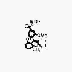 C=CC(C)=C(C1=C(C)CCCC1(C)C)c1ccc(C(=O)OCCCCCC)cc1OC